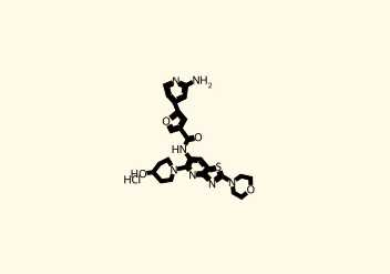 Cl.Nc1cc(-c2cc(C(=O)Nc3cc4sc(N5CCOCC5)nc4nc3N3CCC(O)CC3)co2)ccn1